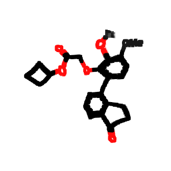 CCOc1c(OC)ccc(-c2cccc3c2CCC3=O)c1OCC(=O)OC1CCC1